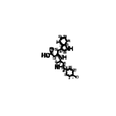 Cc1ccc(CCC(CN)N[C@@H](CC(=O)O)Cc2c[nH]c3ccccc23)cc1